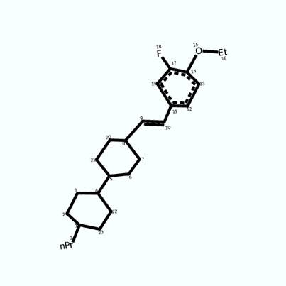 CCCC1CCC(C2CCC(C=Cc3ccc(OCC)c(F)c3)CC2)CC1